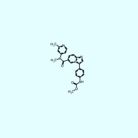 COC(=O)Nc1ccc(-c2cnc3ccc(C(=O)N(C)c4ccnc(C)c4)cn23)cc1